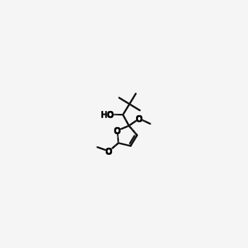 COC1C=CC(OC)(C(O)C(C)(C)C)O1